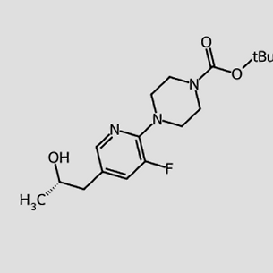 C[C@H](O)Cc1cnc(N2CCN(C(=O)OC(C)(C)C)CC2)c(F)c1